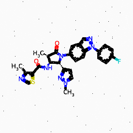 Cc1ncsc1C(=O)N[C@H]1[C@H](C)C(=O)N(c2ccc3c(cnn3-c3ccc(F)cc3)c2)[C@@H]1c1ccn(C)n1